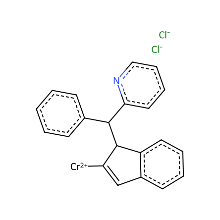 [Cl-].[Cl-].[Cr+2][C]1=Cc2ccccc2C1C(c1ccccc1)c1ccccn1